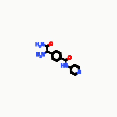 NC(=O)C(N)c1ccc(C(=O)Nc2ccncc2)cc1